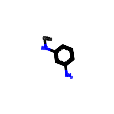 CONc1cccc(N)c1